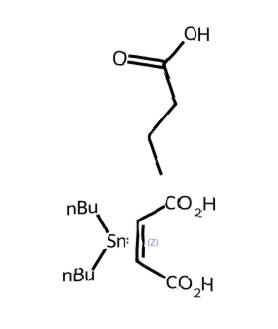 CCCC(=O)O.CCC[CH2][Sn][CH2]CCC.O=C(O)/C=C\C(=O)O